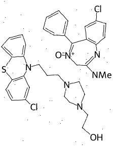 CNC1=Nc2ccc(Cl)cc2C(c2ccccc2)=[N+]([O-])C1.OCCN1CCN(CCCN2c3ccccc3Sc3ccc(Cl)cc32)CC1